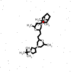 CC1CN(C2CC3CCC(C2)N3C(C)(C)C)CC(CCC2CN(C3CCN(C(C)(C)C)C3)CC(C)O2)O1